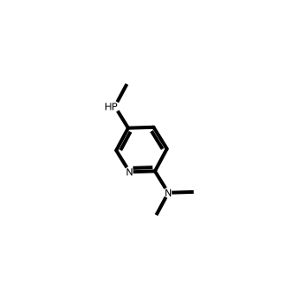 CPc1ccc(N(C)C)nc1